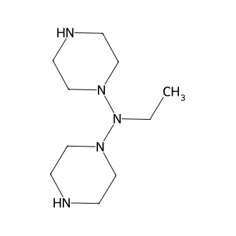 CCN(N1CCNCC1)N1CCNCC1